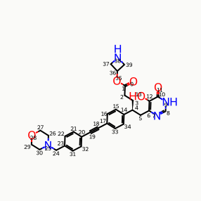 O=C(CC[C@@H](Cc1nc[nH]c(=O)c1O)c1ccc(C#Cc2ccc(CN3CCOCC3)cc2)cc1)OC1CNC1